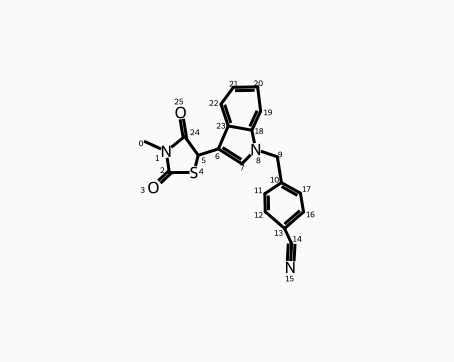 CN1C(=O)SC(c2cn(Cc3ccc(C#N)cc3)c3ccccc23)C1=O